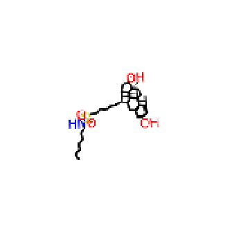 CCCCCCCNS(=O)(=O)CCCCCCC[C@@H]1Cc2cc(O)ccc2[C@H]2CC[C@]3(C)[C@@H](O)CC[C@H]3[C@H]12